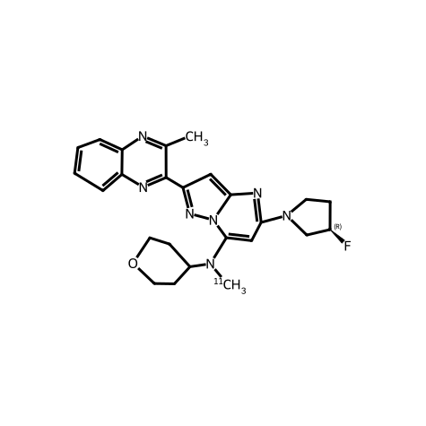 Cc1nc2ccccc2nc1-c1cc2nc(N3CC[C@@H](F)C3)cc(N([11CH3])C3CCOCC3)n2n1